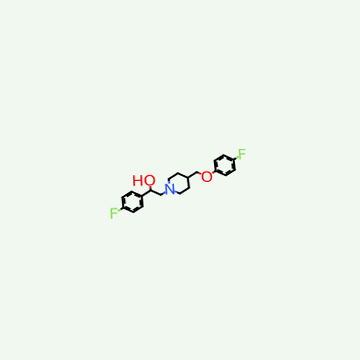 OC(CN1CCC(COc2ccc(F)cc2)CC1)c1ccc(F)cc1